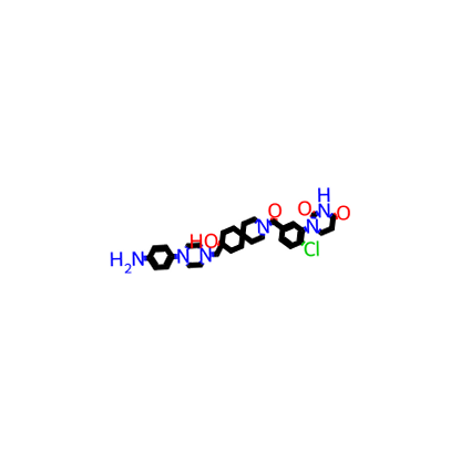 Nc1ccc(N2CCN(CC3(O)CCC4(CCN(C(=O)c5ccc(Cl)c(N6CCC(=O)NC6=O)c5)CC4)CC3)CC2)cc1